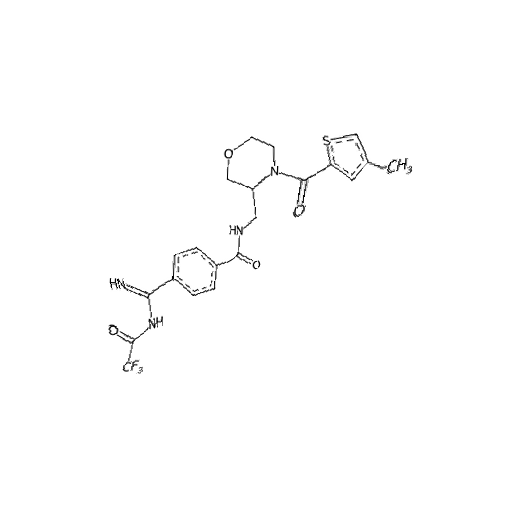 Cc1csc(C(=O)N2CCOCC2CNC(=O)c2ccc(C(=N)NC(=O)C(F)(F)F)cc2)c1